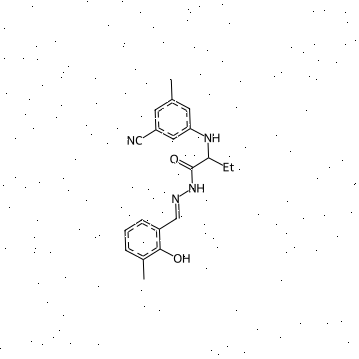 CCC(Nc1cc(C)cc(C#N)c1)C(=O)NN=Cc1cccc(C)c1O